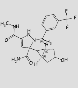 CNC(=O)C1=CC(C(N)=O)(C2[C@H]3CC(O)C[C@@H]23)N([C@H](C)c2cccc(C(F)(F)F)c2)N1